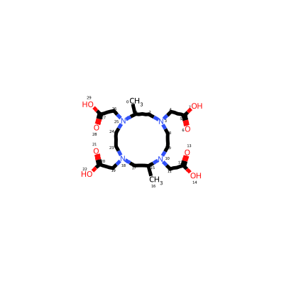 CC1CN(CC(=O)O)CCN(CC(=O)O)C(C)CN(CC(=O)O)CCN1CC(=O)O